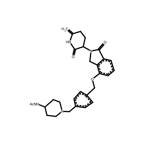 C=C1CCC(N2Cc3c(OCc4ccc(CN5CCC(NC(C)=O)CC5)cc4)cccc3C2=O)C(=O)N1